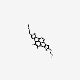 CCCCc1cc2c(s1)-c1ccc3c4c(c(C)c(C)c-2c14)-c1sc(CCCC)cc1-3